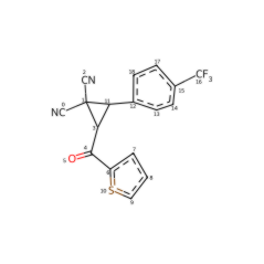 N#CC1(C#N)C(C(=O)c2cccs2)C1c1ccc(C(F)(F)F)cc1